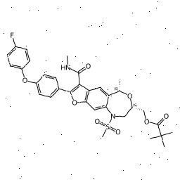 CNC(=O)c1c(-c2ccc(Oc3ccc(F)cc3)cc2)oc2cc3c(cc12)[C@H](C)O[C@H](COC(=O)C(C)(C)C)CN3S(C)(=O)=O